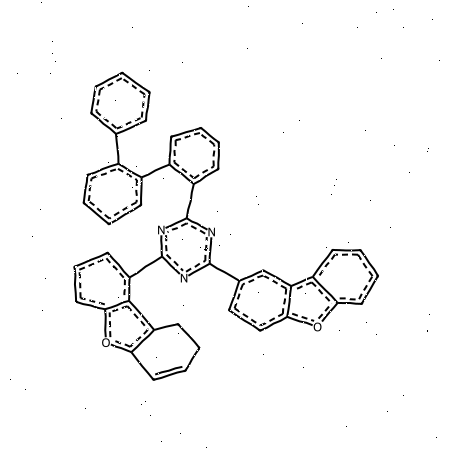 C1=Cc2oc3cccc(-c4nc(-c5ccc6oc7ccccc7c6c5)nc(-c5ccccc5-c5ccccc5-c5ccccc5)n4)c3c2CC1